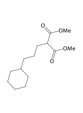 COC(=O)C(CCCC1CCCCC1)C(=O)OC